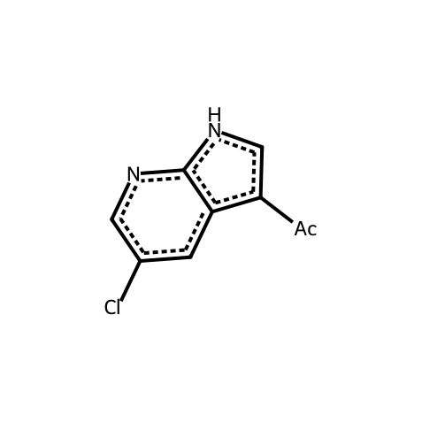 CC(=O)c1c[nH]c2ncc(Cl)cc12